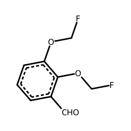 O=Cc1cccc(OCF)c1OCF